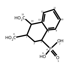 O=C(O)C1CC(P(=O)(O)O)c2ccccc2C1C(=O)O